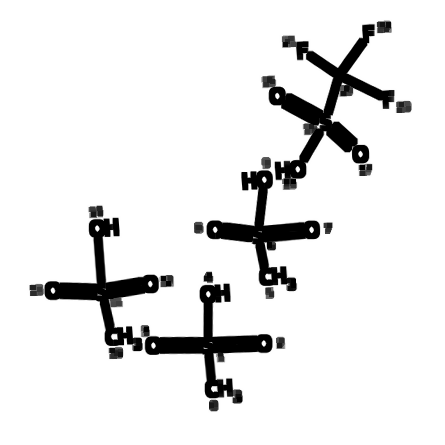 CS(=O)(=O)O.CS(=O)(=O)O.CS(=O)(=O)O.O=S(=O)(O)C(F)(F)F